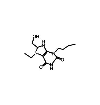 CCCCn1c2c(c(=O)[nH]c1=O)N(CC)C(CO)N2